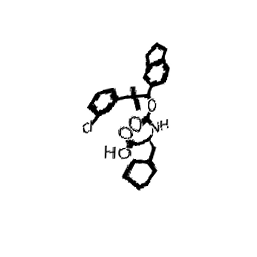 CC(C)(c1cccc(Cl)c1)C(OC(=O)N[C@@H](CC1CCCCC1)C(=O)O)c1ccc2c(c1)CCC2